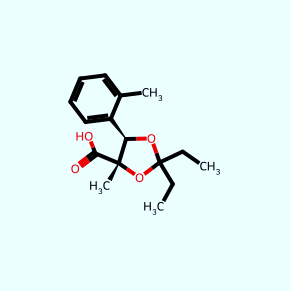 CCC1(CC)O[C@H](c2ccccc2C)[C@@](C)(C(=O)O)O1